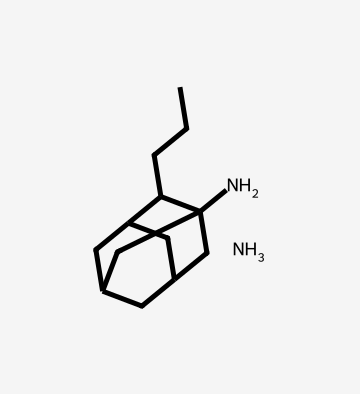 CCCC1C2CC3CC(C2)CC1(N)C3.N